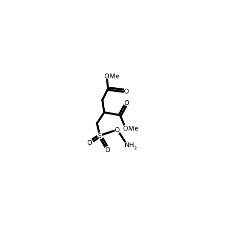 COC(=O)CC(CS(=O)(=O)ON)C(=O)OC